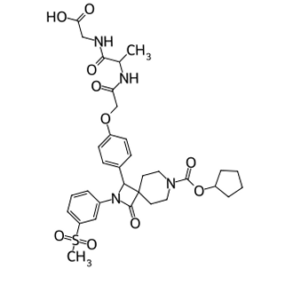 CC(NC(=O)COc1ccc(C2N(c3cccc(S(C)(=O)=O)c3)C(=O)C23CCN(C(=O)OC2CCCC2)CC3)cc1)C(=O)NCC(=O)O